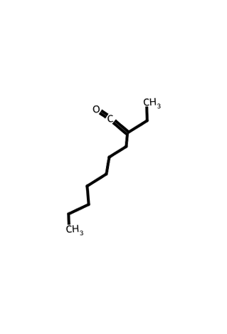 CCCCCCCC(=C=O)CC